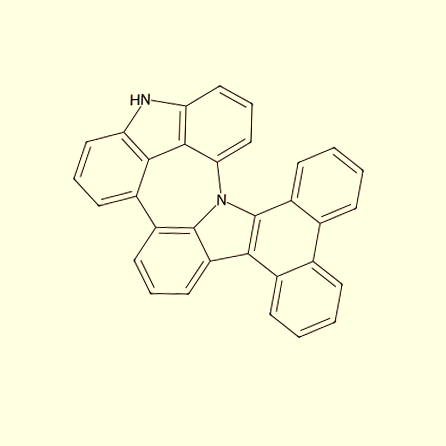 c1ccc2c(c1)c1ccccc1c1c2c2cccc3c4cccc5[nH]c6cccc(c6c54)n1c32